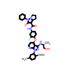 COc1ccc(C)cc1-n1nc(N[C@H](C)CO)c2c(Oc3ccc(NC(=O)c4c5n(n(-c6ccccc6)c4=O)CCC5)cc3F)ccnc21